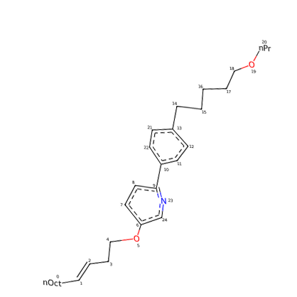 CCCCCCCCC=CCCOc1ccc(-c2ccc(CCCCCOCCC)cc2)nc1